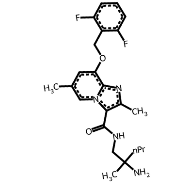 CCCC(C)(N)CNC(=O)c1c(C)nc2c(OCc3c(F)cccc3F)cc(C)cn12